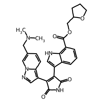 CN(C)Cc1ccc2c(C3=C(c4c[nH]c5c(C(=O)OCC6CCCO6)cccc45)C(=O)NC3=O)cnn2c1